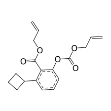 C=CCOC(=O)Oc1cccc(C2CCC2)c1C(=O)OCC=C